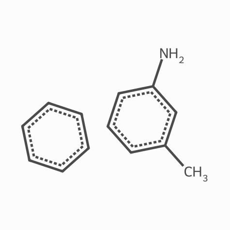 Cc1cccc(N)c1.c1ccccc1